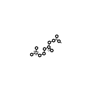 Cc1ccc(N(c2ccccc2)c2ccc(-c3cccc(-c4cc(-c5cccc(-c6cccc(-c7cccc(-c8nc(-c9ccccc9)nc(-c9ccccc9)n8)c7)c6)c5)c5oc6ccccc6c5c4)c3)cc2)cc1